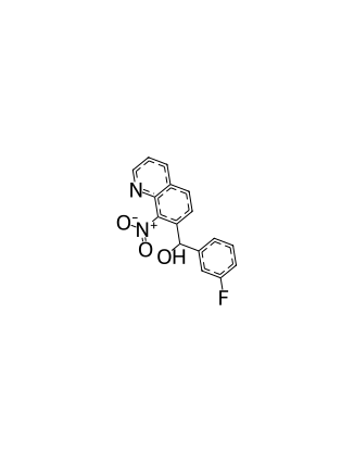 O=[N+]([O-])c1c(C(O)c2cccc(F)c2)ccc2cccnc12